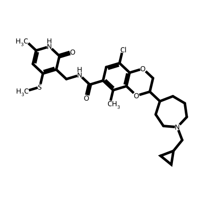 CSc1cc(C)[nH]c(=O)c1CNC(=O)c1cc(Cl)c2c(c1C)OC(C1CCCN(CC3CC3)CC1)CO2